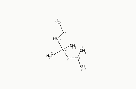 BC(C)CC(C)(C)NCO